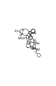 CCC1=C[C@@H]2CN(CCc3c([nH]c4ccccc34)[C@@](C(=O)OC)(c3cc4c(cc3OC)N(C)[C@H]3C(O)(CNC(=O)OC5CCCC5)[C@H](OC(C)=O)[C@]5(CC)C=CCN6CC[C@]43[C@@H]65)C2)C1